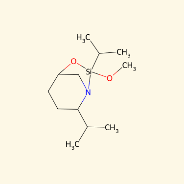 CO[Si]1(C(C)C)OC2CCC(C(C)C)N1C2